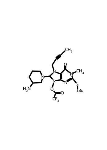 CC#CCN1c2c(nc(SC(C)(C)C)n(C)c2=O)N(OC(=O)C(F)(F)F)C1N1CCCC(N)C1